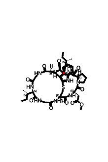 CC[C@H](C)[C@@H]1NC(=O)CNC(=O)[C@@H]2Cc3c([nH]c4ccccc34)SC[C@H](NC(=O)CNC1=O)C(=O)N[C@@H](CC(=O)OC)C(=O)N1CCC[C@H]1C(=O)N[C@@H]([C@@H](C)CC)C(=O)N2